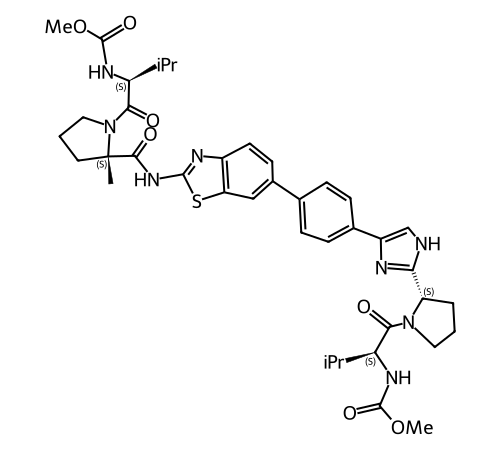 COC(=O)N[C@H](C(=O)N1CCC[C@H]1c1nc(-c2ccc(-c3ccc4nc(NC(=O)[C@]5(C)CCCN5C(=O)[C@@H](NC(=O)OC)C(C)C)sc4c3)cc2)c[nH]1)C(C)C